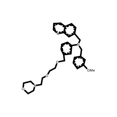 COc1cccc(CN(Cc2ccc3cccnc3c2)c2cccc(COCCOCCN3CCOCC3)c2)c1